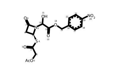 CC(=O)OCC(=O)S[C@H]1CC(=O)N1C(O)C(=O)OCc1ccc([N+](=O)[O-])cc1